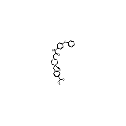 COC(=O)c1ccc(CC2(C#N)CCN(CC(=O)Nc3ccc(Oc4ccccc4)cc3)CC2)cc1